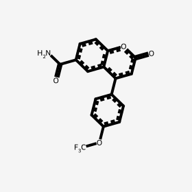 NC(=O)c1ccc2oc(=O)cc(-c3ccc(OC(F)(F)F)cc3)c2c1